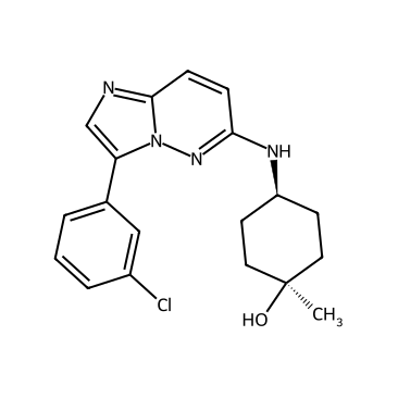 C[C@]1(O)CC[C@@H](Nc2ccc3ncc(-c4cccc(Cl)c4)n3n2)CC1